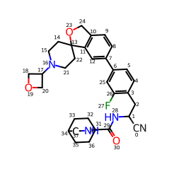 N#CC(Cc1ccc(-c2ccc3c(c2)C2(CCN(C4COC4)CC2)OC3)cc1F)NC(=O)C12CCC(CC1)CN2